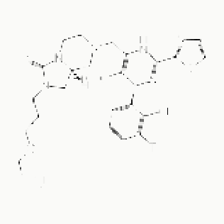 CCOC(=O)C1=C(CN2CCN3C(=O)N(CCCOCC(=O)O)C[C@H]3C2)NC(c2nccs2)=N[C@H]1c1cccc(F)c1Cl